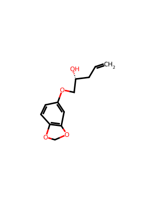 C=CC[C@@H](O)COc1ccc2c(c1)OCO2